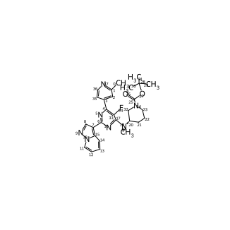 Cc1cc(-c2nc(-c3cnn4ccccc34)nc(N(C)[C@@H]3CCCN(C(=O)OC(C)(C)C)C3)c2F)ccn1